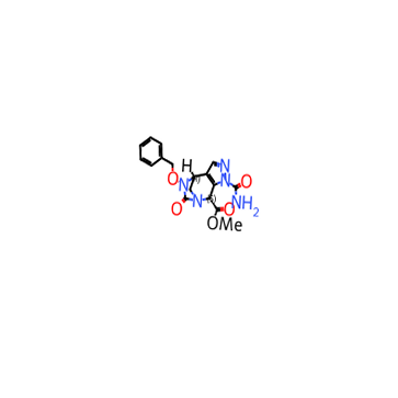 COC(=O)[C@@H]1c2c(cnn2C(N)=O)[C@@H]2CN1C(=O)N2OCc1ccccc1